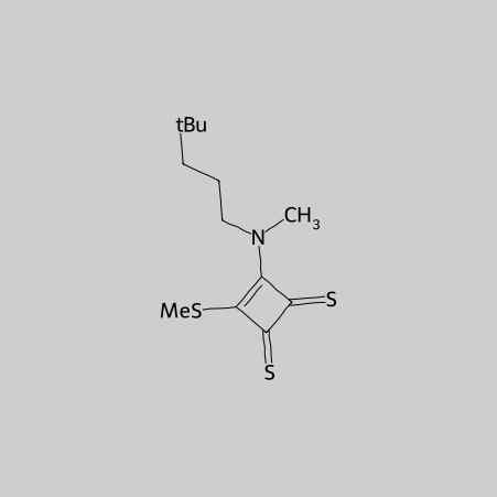 CSc1c(N(C)CCCC(C)(C)C)c(=S)c1=S